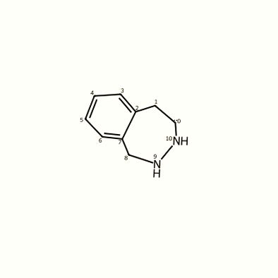 [C]1Cc2ccccc2CNN1